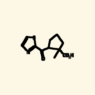 CC1(C(=O)O)CCCC1C(=O)c1nccs1